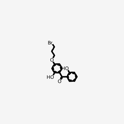 O=C(c1ccccc1O)c1ccc(OCCCBr)cc1O